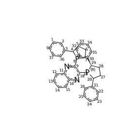 c1ccc(C2CCCP2c2nc3ccccc3nc2P2C(c3ccccc3)CC[C@@H]2c2ccccc2)cc1